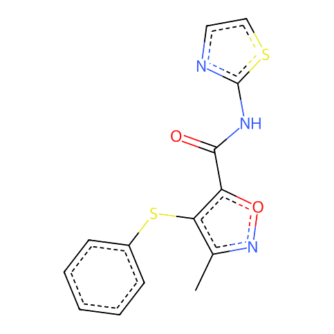 Cc1noc(C(=O)Nc2nccs2)c1Sc1ccccc1